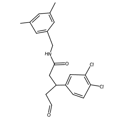 Cc1cc(C)cc(CNC(=O)CC(CC=O)c2ccc(Cl)c(Cl)c2)c1